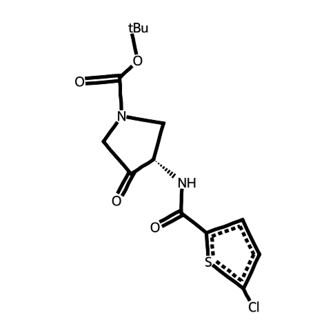 CC(C)(C)OC(=O)N1CC(=O)[C@@H](NC(=O)c2ccc(Cl)s2)C1